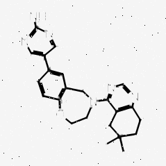 CC1(C)CCc2ncnc(N3CCOc4ccc(-c5cnc(N)nc5)cc4C3)c2C1